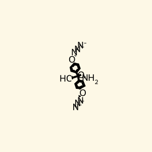 C#CC(ON)(c1ccc(OCN=[N+]=[N-])cc1)c1ccc(OCN=[N+]=[N-])cc1